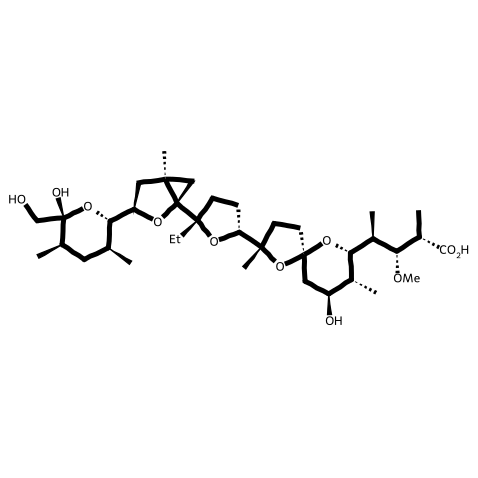 CC[C@@]1([C@@]23C[C@]2(C)C[C@H]([C@H]2O[C@@](O)(CO)[C@H](C)C[C@@H]2C)O3)CC[C@H]([C@]2(C)CC[C@]3(C[C@H](O)[C@@H](C)[C@@H]([C@@H](C)[C@@H](OC)[C@H](C)C(=O)O)O3)O2)O1